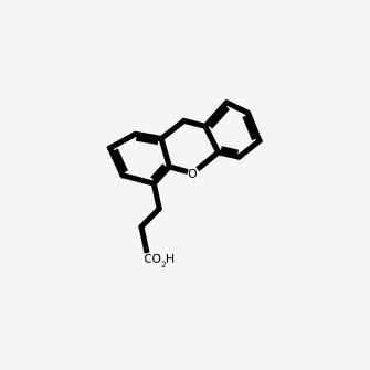 O=C(O)CCc1cccc2c1Oc1ccccc1C2